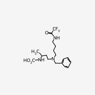 CC(CCN(CCCCNC(=O)C(F)(F)F)Cc1ccccc1)NC(=O)O